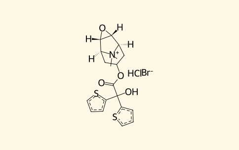 C[N+]1(C)[C@@H]2CC(OC(=O)C(O)(c3cccs3)c3cccs3)C[C@H]1[C@@H]1O[C@@H]12.Cl.[Br-]